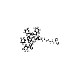 O=C(Cl)CCCCCCCCCO[C@@H]1OC(COC(=O)c2ccccc2)[C@@H](OC(=O)c2ccccc2)C(OC(=O)c2ccccc2)C1OC(=O)c1ccccc1